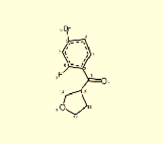 O=C(c1ccc(Br)cc1F)C1CCOC1